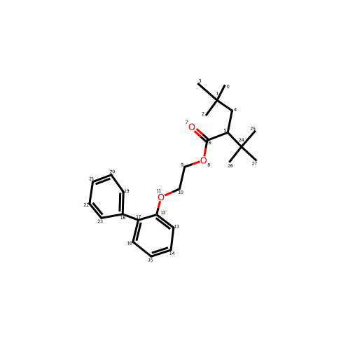 CC(C)(C)CC(C(=O)OCCOc1ccccc1-c1ccccc1)C(C)(C)C